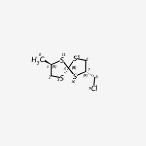 C[C@@H]1CS[C@@]2(SC[C@H](CCl)S2)S1